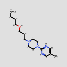 CCC(C)c1cnc(N2CCN(CCCOCCCNC)CC2)nc1